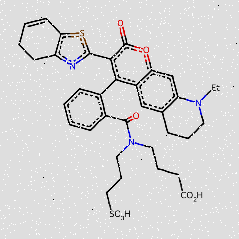 CCN1CCCc2cc3c(-c4ccccc4C(=O)N(CCCC(=O)O)CCCS(=O)(=O)O)c(-c4nc5c(s4)C=CCC5)c(=O)oc3cc21